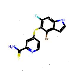 NC(=S)c1cc(Sc2c(F)cc3[nH]ccc3c2Br)ccn1